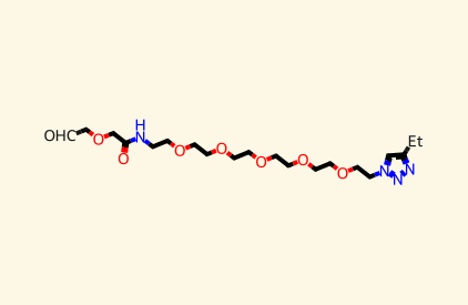 CCc1cn(CCOCCOCCOCCOCCOCCNC(=O)COCC=O)nn1